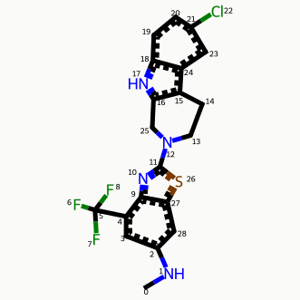 CNc1cc(C(F)(F)F)c2nc(N3CCc4c([nH]c5ccc(Cl)cc45)C3)sc2c1